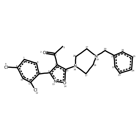 CC(=O)c1c(-c2ccc(Cl)cc2Cl)noc1N1CCN(Cc2ccccc2)CC1